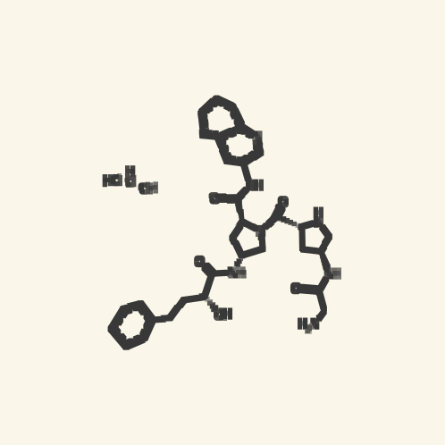 Cl.Cl.Cl.NCC(=O)N[C@@H]1CN[C@@H](C(=O)N2C[C@H](NC(=O)[C@H](O)CCc3ccccc3)C[C@H]2C(=O)Nc2cnc3ccccc3c2)C1